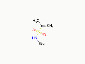 C=C(C)S(=O)(=O)NC(C)(C)C